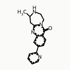 CC1Cc2nc3cc(-c4ccccn4)ccc3c(=O)n2CCN1